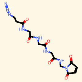 [N-]=[N+]=NCCC(=O)NCC(=O)NCC(=O)NCC(=O)NCN1C(=O)C=CC1=O